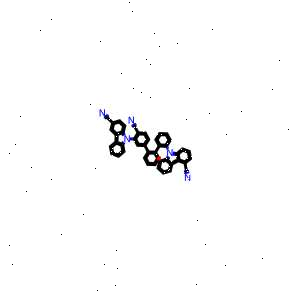 N#Cc1ccc2c(c1)c1ccccc1n2-c1cc(-c2ccccc2-c2ccccc2-n2c3ccccc3c3c(C#N)cccc32)ccc1C#N